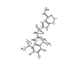 CC(C)c1c(F)c(Cl)c(F)c(C(C)C)c1NC(=O)NS(=O)(=O)c1cc2c(o1)CCC/C2=N\O